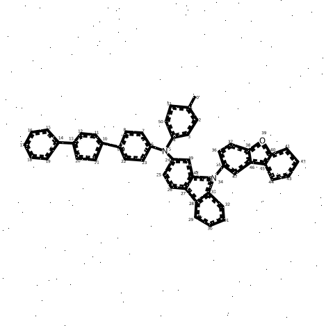 Cc1ccc(N(c2ccc(-c3ccc(-c4ccccc4)cc3)cc2)c2ccc3c4ccccc4n(-c4ccc5oc6ccccc6c5c4)c3c2)cc1